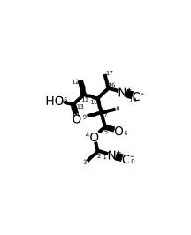 [C-]#[N+]C(C)OC(=O)C(C)(C)C(C(=C)C(=O)O)C(C)[N+]#[C-]